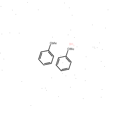 B.COc1ccccc1.COc1ccccc1